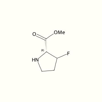 COC(=O)[C@H]1NCCC1F